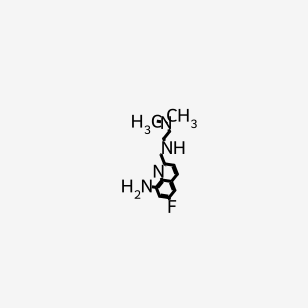 CN(C)CCNCc1ccc2cc(F)cc(N)c2n1